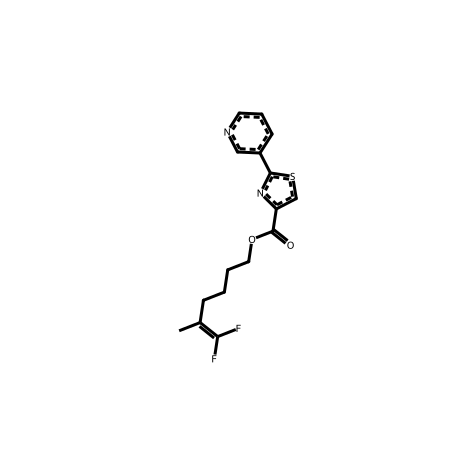 CC(CCCCOC(=O)c1csc(-c2cccnc2)n1)=C(F)F